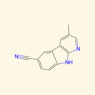 Cc1cnc2[nH]c3ccc(C#N)cc3c2c1